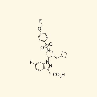 O=C(O)Cc1nn([C@H]2CN(S(=O)(=O)c3ccc(OCF)cc3)C[C@H]2CC2CCC2)c2cc(F)ccc12